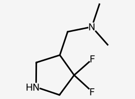 CN(C)CC1CNCC1(F)F